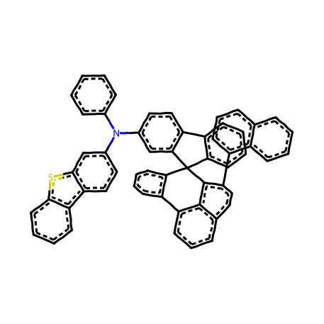 c1ccc(N(c2ccc3c(c2)C2(c4ccccc4-3)c3ccccc3-c3cccc4ccc(-c5cccc6ccccc56)c2c34)c2ccc3c(c2)sc2ccccc23)cc1